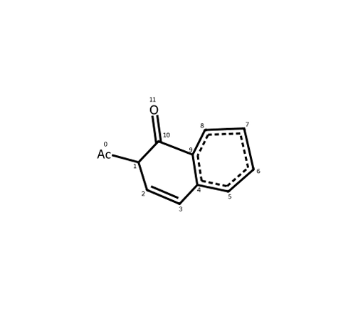 CC(=O)C1C=Cc2ccccc2C1=O